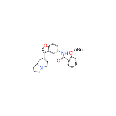 CCCCOc1ccccc1C(=O)Nc1ccc2occ(C3=CCN4CCCC4C3)c2c1